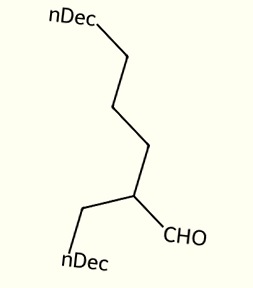 CCCCCCCCCCCCCC(C=O)CCCCCCCCCCC